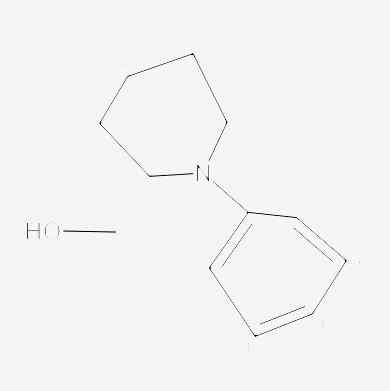 OC[C@@H]1CCCCN1c1ccccc1